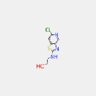 OCCNc1nc2cnc(Cl)cc2s1